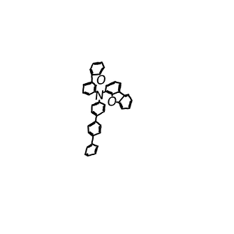 c1ccc(-c2ccc(-c3ccc(N(c4cccc5c4oc4ccccc45)c4cccc5c4oc4ccccc45)cc3)cc2)cc1